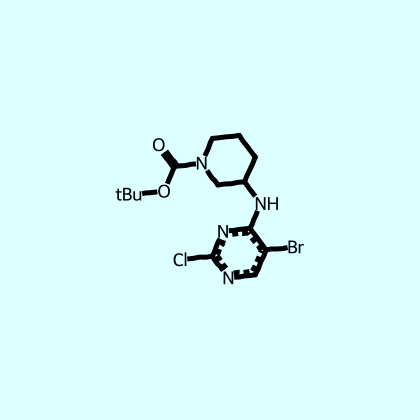 CC(C)(C)OC(=O)N1CCCC(Nc2nc(Cl)ncc2Br)C1